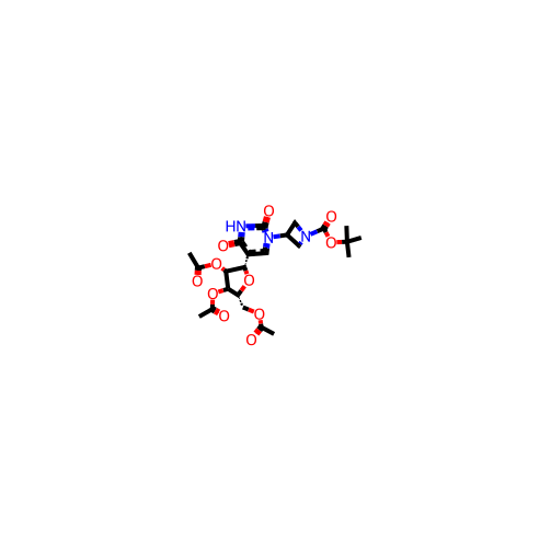 CC(=O)OC[C@H]1O[C@@H](c2cn(C3CN(C(=O)OC(C)(C)C)C3)c(=O)[nH]c2=O)C(OC(C)=O)C1OC(C)=O